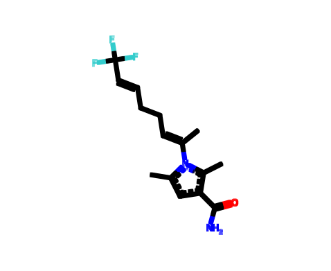 C/C(=C\CC/C=C/C(F)(F)F)n1c(C)cc(C(N)=O)c1C